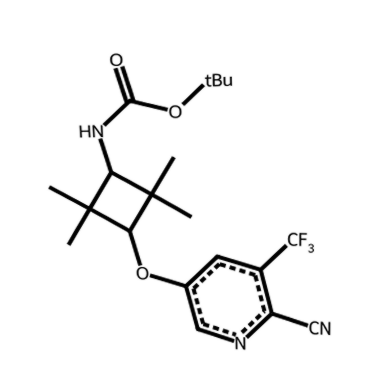 CC(C)(C)OC(=O)NC1C(C)(C)C(Oc2cnc(C#N)c(C(F)(F)F)c2)C1(C)C